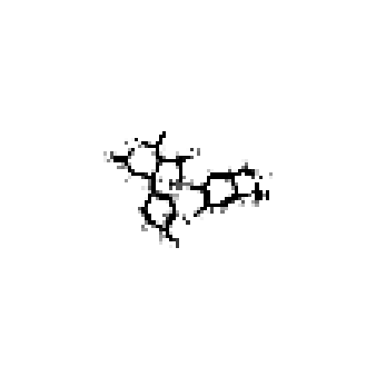 CC1=C(C(=O)Nc2cc3cn[nH]c3cc2Cl)C(c2ccc(Cl)cc2)CC(=O)N1